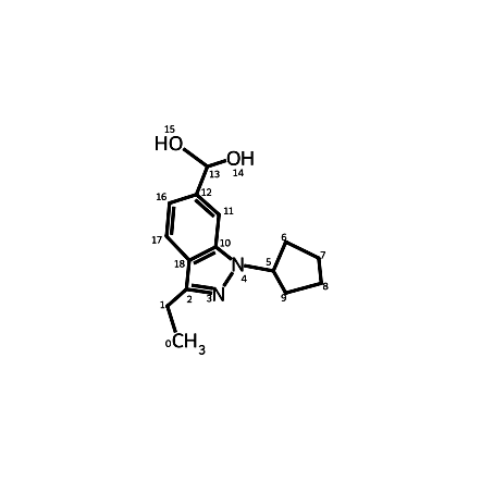 CCc1nn(C2CCCC2)c2cc(C(O)O)ccc12